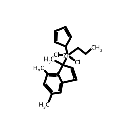 CC[CH2][Zr]([Cl])([Cl])([CH]1C=CC=C1)[C]1(C)C=Cc2cc(C)cc(C)c21